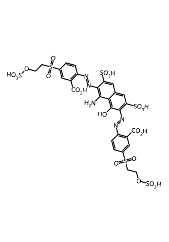 Nc1c(/N=N/c2ccc(S(=O)(=O)CCOS(=O)(=O)O)cc2C(=O)O)c(S(=O)(=O)O)cc2cc(S(=O)(=O)O)c(/N=N/c3ccc(S(=O)(=O)CCOS(=O)(=O)O)cc3C(=O)O)c(O)c12